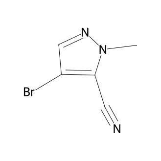 Cn1ncc(Br)c1C#N